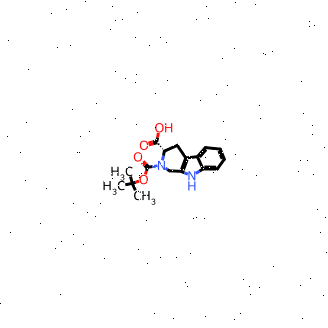 CC(C)(C)OC(=O)N1Cc2[nH]c3ccccc3c2C[C@H]1C(=O)O